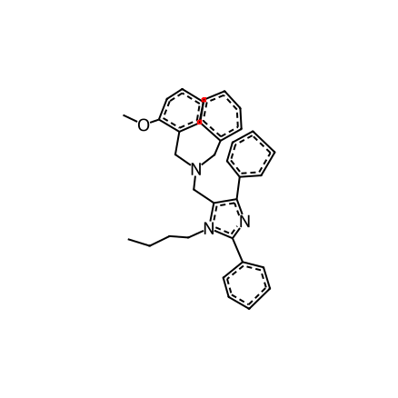 CCCCn1c(-c2ccccc2)nc(-c2ccccc2)c1CN(Cc1ccccc1)Cc1ccccc1OC